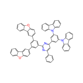 c1ccc(-c2cc(-c3cc(-n4c5ccccc5c5ccccc54)cc(-n4c5ccccc5c5ccccc54)c3)nc(-c3cc(-c4ccc5oc6ccccc6c5c4)cc(-c4ccc5oc6ccccc6c5c4)c3)n2)cc1